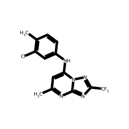 Cc1cc(Nc2ccc(C)c(Cl)c2)n2nc(C(F)(F)F)nc2n1